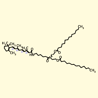 CCCCCCCCCCCCCC(=O)OCCN(CCOC(=O)CCCCCCCCCCCCC)C(=O)CCCCCNC(=O)/C=C(C)/C=C/C=C(C)/C=C/C1=C(C)CCCC1(C)C